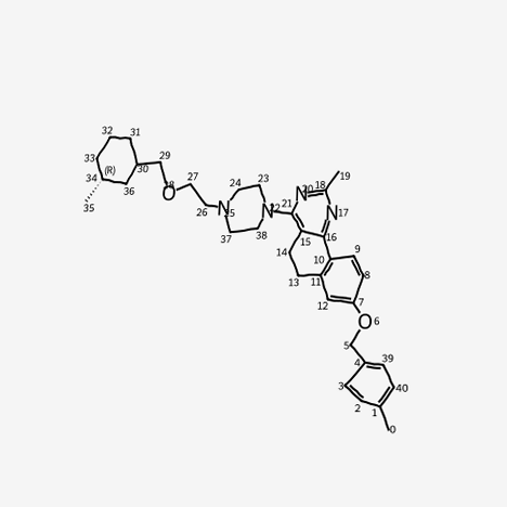 Cc1ccc(COc2ccc3c(c2)CCc2c-3nc(C)nc2N2CCN(CCOCC3CCC[C@@H](C)C3)CC2)cc1